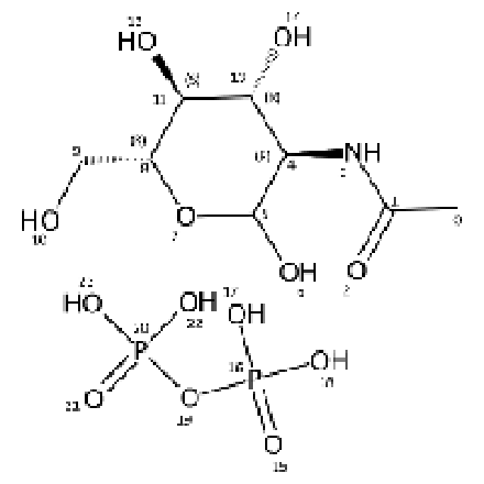 CC(=O)N[C@H]1C(O)O[C@H](CO)[C@@H](O)[C@@H]1O.O=P(O)(O)OP(=O)(O)O